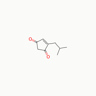 CC(C)CC1=CC(=O)CC1=O